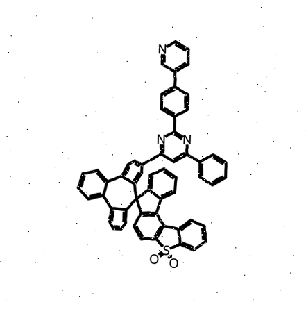 O=S1(=O)c2ccccc2-c2c1ccc1c2-c2ccccc2C12c1ccccc1-c1ccccc1-c1ccc(-c3cc(-c4ccccc4)nc(-c4ccc(-c5cccnc5)cc4)n3)cc12